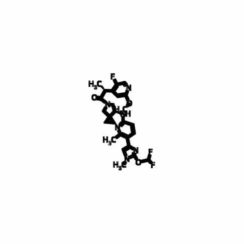 COc1cc([C@@H](C)C(=O)N2C[C@@H](Nc3ccc(-c4cn(C)c(OC(F)F)n4)c(C)n3)C3(CC3)C2)c(F)cn1